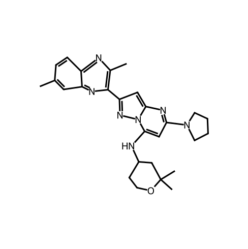 Cc1ccc2nc(C)c(-c3cc4nc(N5CCCC5)cc(NC5CCOC(C)(C)C5)n4n3)nc2c1